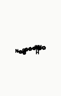 N#Cc1ccc(-c2cccc3c2oc2ccc(-c4ccc(-c5ccc(C(=N)NC6C=CC(C7=CC=CCC7)=CN6)cc5)cc4)cc23)cc1